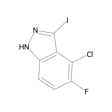 Fc1ccc2[nH]nc(I)c2c1Cl